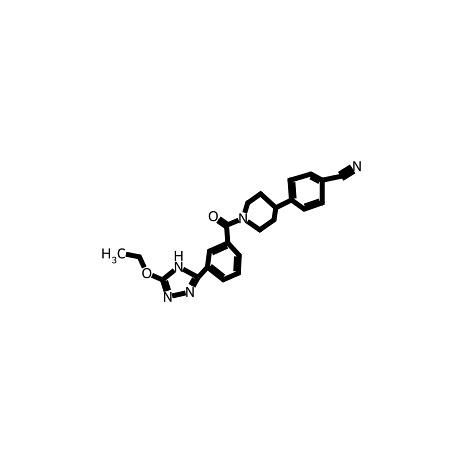 CCOc1nnc(-c2cccc(C(=O)N3CCC(c4ccc(C#N)cc4)CC3)c2)[nH]1